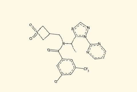 CC(c1ncnn1-c1ncccn1)N(CC1CS(=O)(=O)C1)C(=O)c1cc(Cl)cc(C(F)(F)F)c1